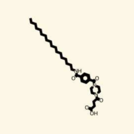 CCCCCCCCCCCCCCCCCCNC(=O)c1ccc(C(=O)N2CCN(C(=O)CCC(=O)O)CC2)cc1